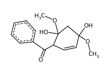 COC1(O)C=CC(C(=O)c2ccccc2)C(O)(OC)C1